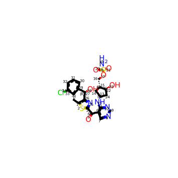 Cc1sc(C(=O)c2cncnc2N[C@@H]2C[C@H](COS(N)(=O)=O)[C@@H](O)C2)nc1[C@H](O)c1cccc(Cl)c1